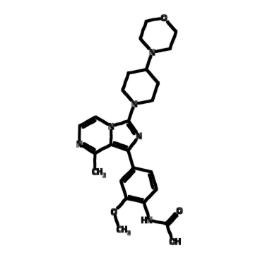 COc1cc(-c2nc(N3CCC(N4CCOCC4)CC3)n3ccnc(C)c23)ccc1NC(=O)O